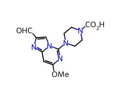 COc1cc2nc(C=O)cn2c(N2CCN(C(=O)O)CC2)n1